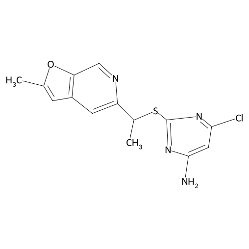 Cc1cc2cc(C(C)Sc3nc(N)cc(Cl)n3)ncc2o1